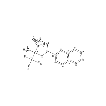 CCC(CC(C)(C(=O)O)C(F)(F)F)c1ccc2ccccc2c1